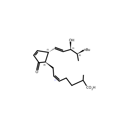 CCCC[C@@H](C)[C@H](O)C=C[C@H]1C=CC(=O)[C@@H]1C/C=C\CCC(C)C(=O)O